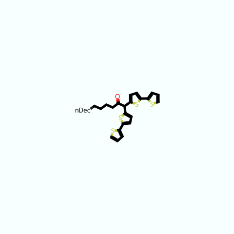 CCCCCCCCCCCCCCC(=O)C(c1ccc(-c2cccs2)s1)c1ccc(-c2cccs2)s1